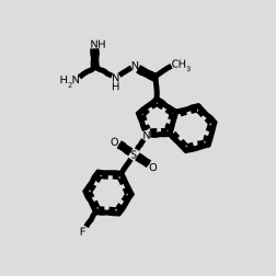 C/C(=N/NC(=N)N)c1cn(S(=O)(=O)c2ccc(F)cc2)c2ccccc12